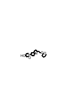 O=c1cc(O)ccn1-c1ccc2nc(CCOC3CCCCO3)ccc2c1